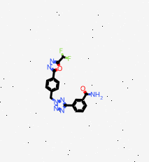 NC(=O)c1cccc(-c2nnn(Cc3ccc(-c4nnc(C(F)F)o4)cc3)n2)c1